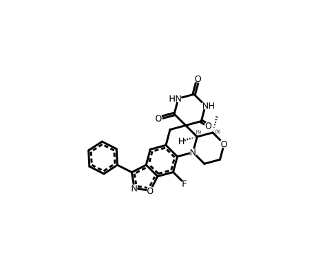 C[C@@H]1OCCN2c3c(cc4c(-c5ccccc5)noc4c3F)CC3(C(=O)NC(=O)NC3=O)[C@@H]12